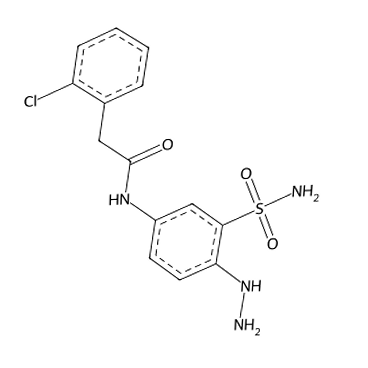 NNc1ccc(NC(=O)Cc2ccccc2Cl)cc1S(N)(=O)=O